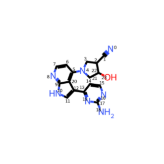 N#CC1CN(c2ccnc3[nH]cc(-c4ccnc(N)n4)c23)CC1O